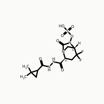 CC1(C)CC1C(=O)NNC(=O)[C@@H]1CC(F)(F)[C@@H]2CN1C(=O)N2OS(=O)(=O)O